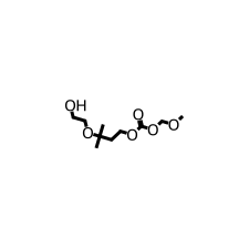 COCOC(=O)OCCC(C)(C)OCCO